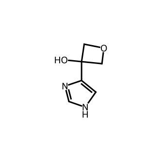 OC1(c2c[nH]cn2)COC1